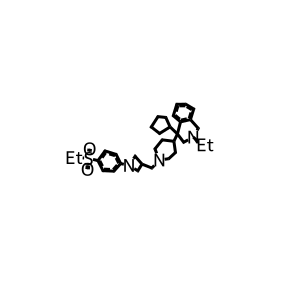 CCN1Cc2ccccc2C(C2CCCC2)(C2CCN(CC3CN(c4ccc(S(=O)(=O)CC)cc4)C3)CC2)C1